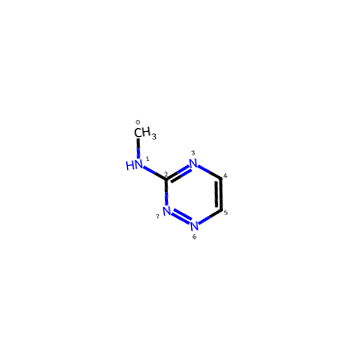 CNc1nccnn1